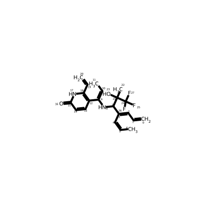 C=C/C=C(\C=C/C)C(N/C(=C/C)c1ccc(=O)[nH]c1C=C)C(C)(O)C(F)(F)F